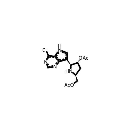 CC(=O)OC[C@@H]1C[C@@H](OC(C)=O)[C@H](c2c[nH]c3c(Cl)ncnc23)N1